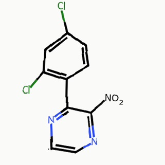 O=[N+]([O-])c1nc[c]nc1-c1ccc(Cl)cc1Cl